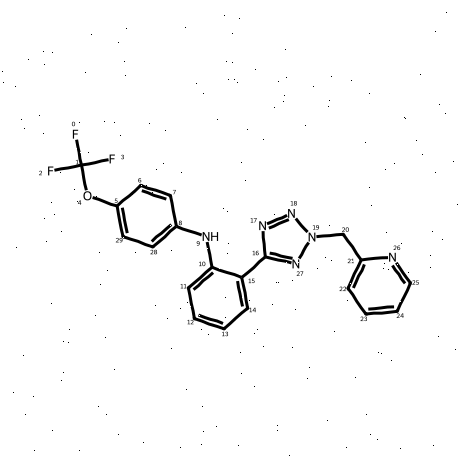 FC(F)(F)Oc1ccc(Nc2ccccc2-c2nnn(Cc3ccccn3)n2)cc1